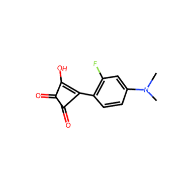 CN(C)c1ccc(-c2c(O)c(=O)c2=O)c(F)c1